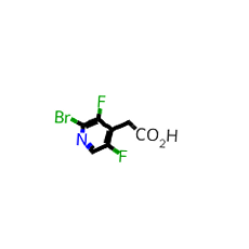 O=C(O)Cc1c(F)cnc(Br)c1F